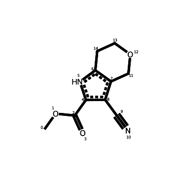 COC(=O)c1[nH]c2c(c1C#N)COCC2